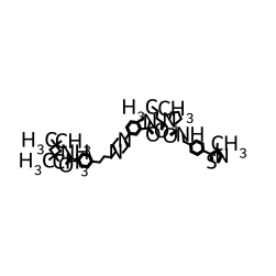 Cc1ncsc1-c1ccc(CNC(=O)[C@@H]2CCCN2C(=O)C(C(C)C)N2Cc3ccc(N4CCN(CCCc5ccc(C(=O)NC6C(C)(C)CC6(C)C)cc5)CC4)cc3C2=O)cc1